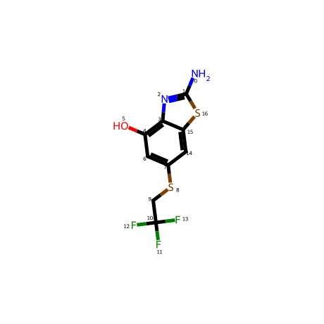 Nc1nc2c(O)cc(SCC(F)(F)F)cc2s1